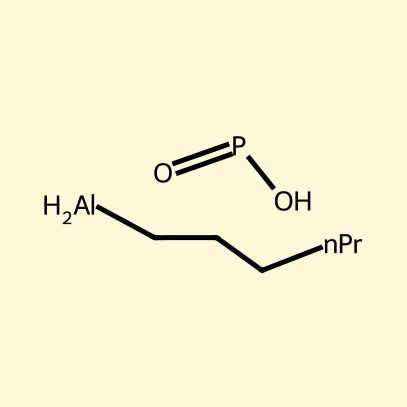 CCCCC[CH2][AlH2].O=PO